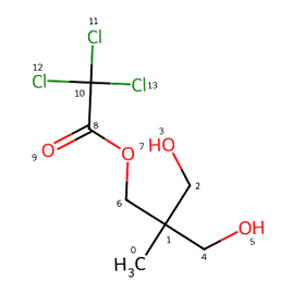 CC(CO)(CO)COC(=O)C(Cl)(Cl)Cl